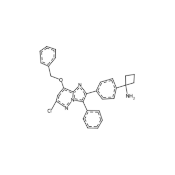 NC1(c2ccc(-c3nc4c(OCc5ccccc5)cc(Cl)nn4c3-c3ccccc3)cc2)CCC1